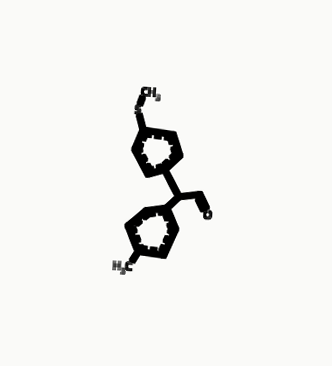 CSc1ccc(C(C=O)c2ccc(C)cc2)cc1